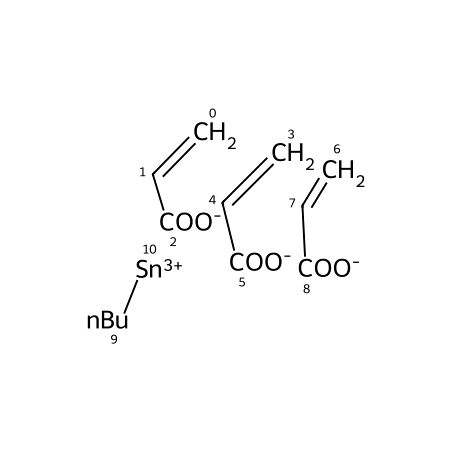 C=CC(=O)[O-].C=CC(=O)[O-].C=CC(=O)[O-].CCC[CH2][Sn+3]